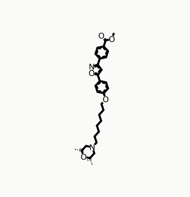 COC(=O)c1ccc(-c2cc(-c3ccc(OCCCCCCCCN4C[C@@H](C)O[C@@H](C)C4)cc3)on2)cc1